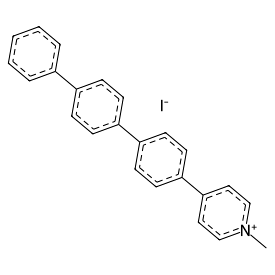 C[n+]1ccc(-c2ccc(-c3ccc(-c4ccccc4)cc3)cc2)cc1.[I-]